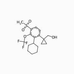 CS(=O)(=O)c1ccc(C2(CO)CC2)c(C2CCCCC2)c1OC(F)(F)F